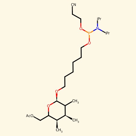 CC(=O)OCC1O[C@@H](OCCCCCCOP(OCCC#N)N(C(C)C)C(C)C)C(C)[C@@H](C)[C@H]1C